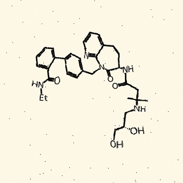 CCNC(=O)c1ccccc1-c1ccc(CN2C(=O)[C@H](NC(=O)CC(C)(C)NC[C@H](O)CO)CCc3cccnc32)cc1